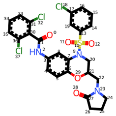 O=C(Nc1ccc2c(c1)N(S(=O)(=O)c1cccc(Cl)c1)CC(CN1CCCC1=O)O2)c1c(Cl)cccc1Cl